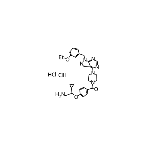 CCOc1cccc(Cn2ncc3c(N4CCN(C(=O)c5ccc(OC(CN)C6CC6)cc5)CC4)ncnc32)c1.Cl.Cl